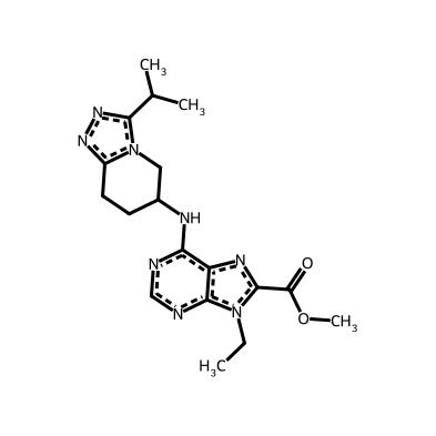 CCn1c(C(=O)OC)nc2c(NC3CCc4nnc(C(C)C)n4C3)ncnc21